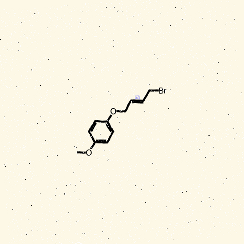 COc1ccc(OC/C=C/CBr)cc1